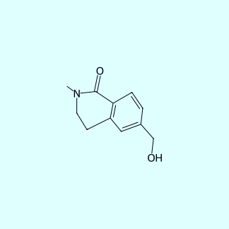 CN1CCc2cc(CO)ccc2C1=O